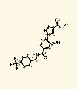 COC(=O)c1cnn(-c2ncc(C(=O)NCC3CCC(C(F)(F)F)CC3)cc2O)c1